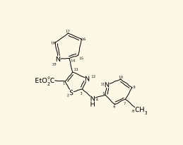 CCOC(=O)c1sc(Nc2cc(C)ccn2)nc1-c1ccccn1